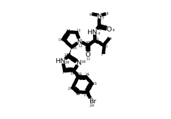 CC(C)C(NC(=O)N(C)C)C(=O)N1CC=C[C@H]1c1nc(-c2ccc(Br)cc2)c[nH]1